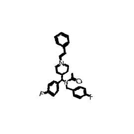 CC(=O)N(Cc1ccc(F)cc1)C(c1ccc(F)cc1)C1CCN(CCc2ccccc2)CC1